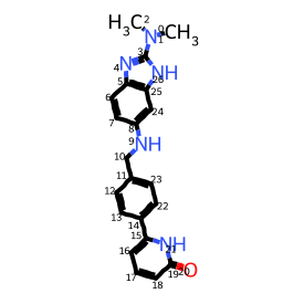 CN(C)c1nc2ccc(NCc3ccc(-c4cccc(=O)[nH]4)cc3)cc2[nH]1